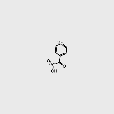 O=C(c1cc[13cH]cc1)[13C](=O)O